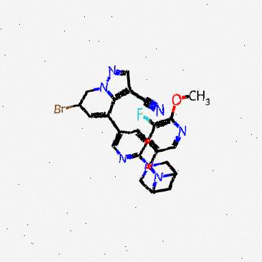 COc1ncc(CN2C3CC2CN(c2ccc(C4=CC(Br)Cn5ncc(C#N)c54)cn2)C3)cc1F